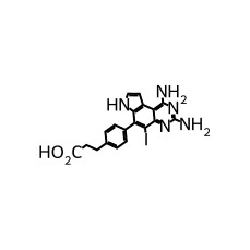 Nc1nc(N)c2c(n1)c(I)c(-c1ccc(CCC(=O)O)cc1)c1[nH]ccc12